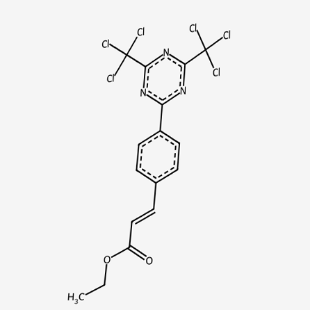 CCOC(=O)C=Cc1ccc(-c2nc(C(Cl)(Cl)Cl)nc(C(Cl)(Cl)Cl)n2)cc1